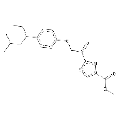 CCC(CC(C)C)c1ccc(OCC(=O)c2nc(C(=O)OC)cs2)cc1